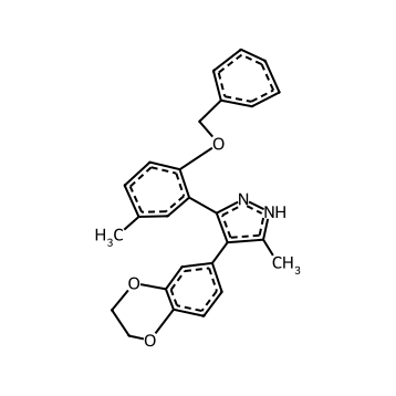 Cc1ccc(OCc2ccccc2)c(-c2n[nH]c(C)c2-c2ccc3c(c2)OCCO3)c1